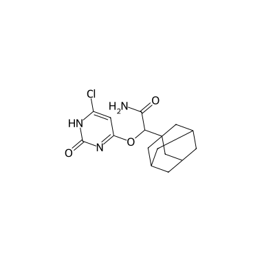 NC(=O)C(Oc1cc(Cl)[nH]c(=O)n1)C12CC3CC(CC(C3)C1)C2